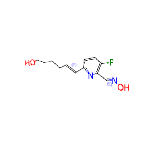 OCCCC/C=C/c1ccc(F)c(/C=N/O)n1